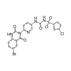 O=C(Nc1ccc(-n2c(=O)[nH]c3ccc(Br)cc3c2=O)nc1)NS(=O)(=O)c1ccc(Cl)s1